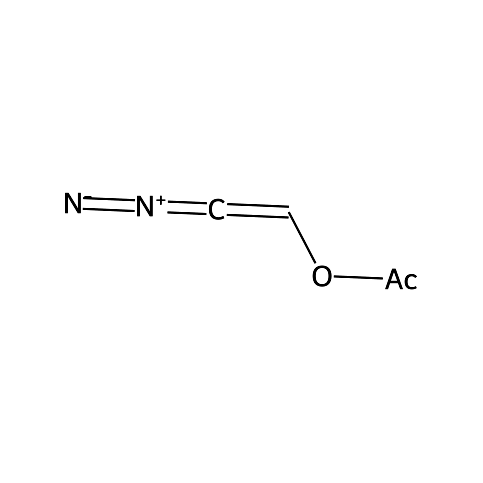 CC(=O)OC=C=[N+]=[N-]